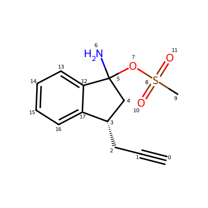 C#CC[C@H]1CC(N)(OS(C)(=O)=O)c2ccccc21